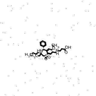 CCCC[C@]1(CC)CS(=O)(=O)C(=C/CCNCCC(=O)O)/C(=C\COC)[C@@H](c2ccccc2)N1